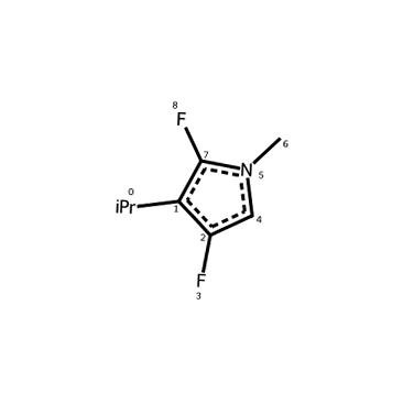 CC(C)c1c(F)cn(C)c1F